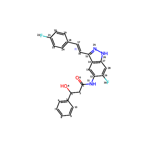 O=C(CC(O)c1ccccc1)Nc1cc2c(/C=C/c3ccc(F)cc3)n[nH]c2cc1F